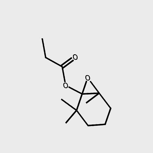 CCC(=O)OC12OC1(C)CCCC2(C)C